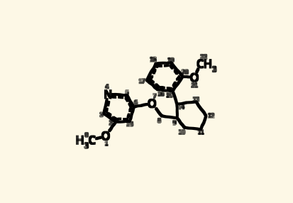 COc1cncc(OCC2CCCCC2c2ccccc2OC)c1